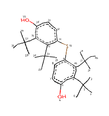 CC(C)(C)c1c(O)ccc(Sc2ccc(O)c(C(C)(C)C)c2C(C)(C)C)c1C(C)(C)C